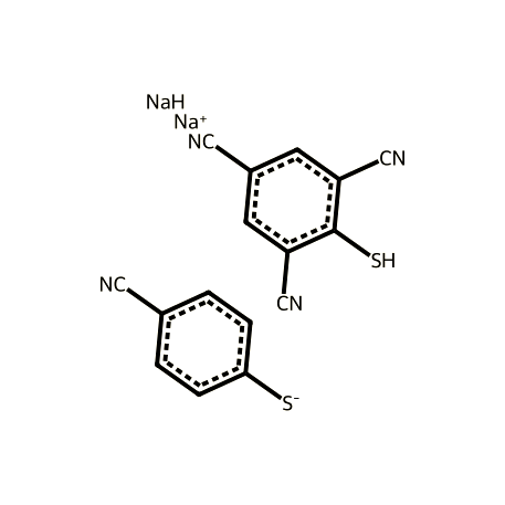 N#Cc1cc(C#N)c(S)c(C#N)c1.N#Cc1ccc([S-])cc1.[Na+].[NaH]